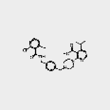 CC(C)c1ccnc(N2CCN(Cc3ccc(CNC(=O)c4c(F)cccc4Cl)cc3)CC2)c1C(=O)O